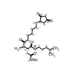 CNC(=O)C[C@@H](C(=O)NCCCN(C)C)N(C)C(=O)CCCCCSC1CC(=O)CC1=O